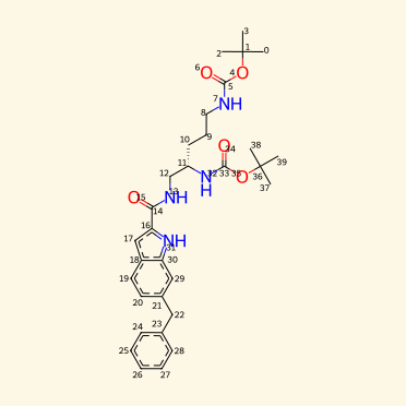 CC(C)(C)OC(=O)NCCC[C@@H](CNC(=O)c1cc2ccc(Cc3ccccc3)cc2[nH]1)NC(=O)OC(C)(C)C